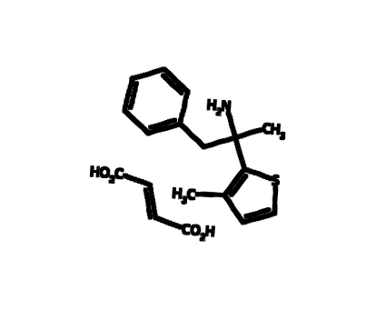 Cc1ccsc1C(C)(N)Cc1ccccc1.O=C(O)C=CC(=O)O